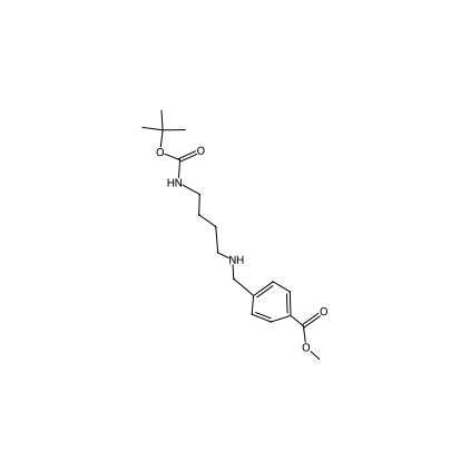 COC(=O)c1ccc(CNCCCCNC(=O)OC(C)(C)C)cc1